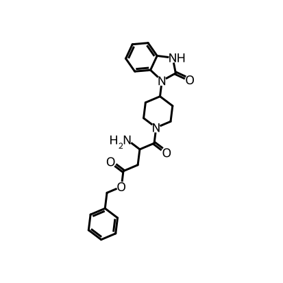 NC(CC(=O)OCc1ccccc1)C(=O)N1CCC(n2c(=O)[nH]c3ccccc32)CC1